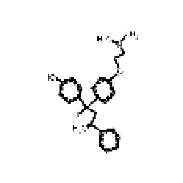 C=C(CC(Cl)(c1ccc(O)cc1)c1ccc(OCCN(C)C)cc1)c1ccccc1